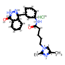 CCc1nc(C)cn1CCCCC(=O)Nc1cccc(-c2n[nH]c(=O)c3ccccc23)c1.Cl